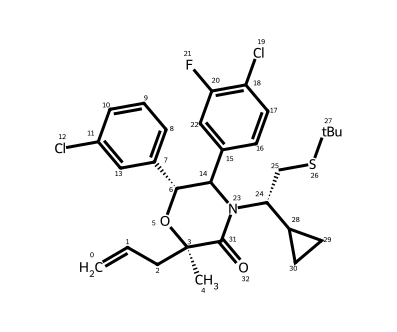 C=CC[C@@]1(C)O[C@H](c2cccc(Cl)c2)C(c2ccc(Cl)c(F)c2)N([C@H](CSC(C)(C)C)C2CC2)C1=O